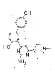 CN1CCN(c2cc(-c3cc(-c4ccc(O)cc4)ccc3O)nc(N)n2)CC1